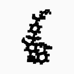 CCCCc1nc(=O)c(S(=O)(=O)c2ccc(C(=O)NCC(F)(F)F)cc2)c(O)n1-c1c(OC)cccc1OC